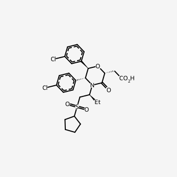 CC[C@@H](CS(=O)(=O)C1CCCC1)N1C(=O)[C@@H](CC(=O)O)O[C@H](c2cccc(Cl)c2)[C@H]1c1ccc(Cl)cc1